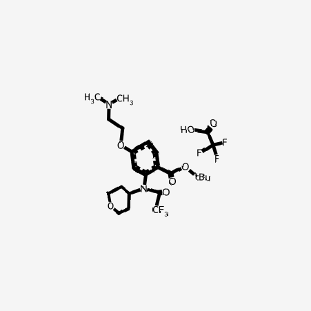 CN(C)CCOc1ccc(C(=O)OC(C)(C)C)c(N(C(=O)C(F)(F)F)C2CCOCC2)c1.O=C(O)C(F)(F)F